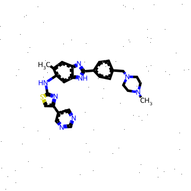 Cc1cc2nc(-c3ccc(CN4CCN(C)CC4)cc3)[nH]c2cc1Nc1nc(-c2cncnc2)cs1